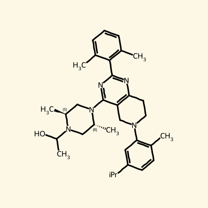 Cc1ccc(C(C)C)cc1N1CCc2nc(-c3c(C)cccc3C)nc(N3C[C@H](C)N(C(C)O)C[C@H]3C)c2C1